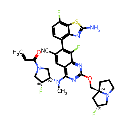 C=CC(=O)N1C[C@@H](F)[C@@H](N(C)c2nc(OC[C@@]34CCCN3C[C@H](F)C4)nc3c(F)c(-c4ccc(F)c5sc(N)nc45)c(C#N)cc23)C1